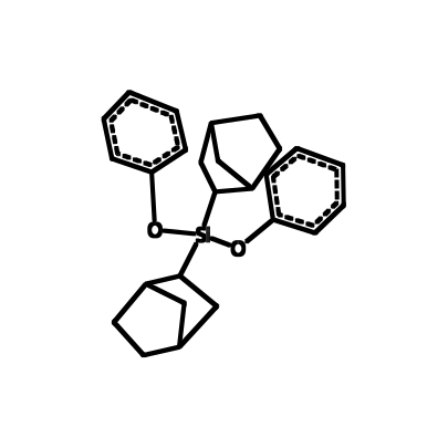 c1ccc(O[Si](Oc2ccccc2)(C2CC3CCC2C3)C2CC3CCC2C3)cc1